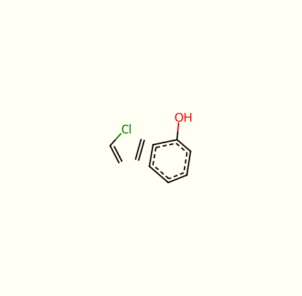 C=C.C=CCl.Oc1ccccc1